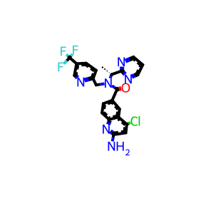 C[C@H](c1ncccn1)N(Cc1ccc(C(F)(F)F)cn1)C(=O)c1ccc2nc(N)cc(Cl)c2c1